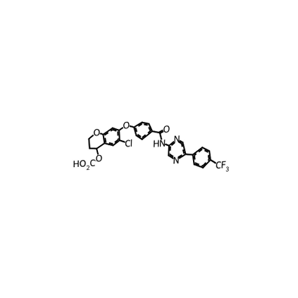 O=C(O)OC1CCOc2cc(Oc3ccc(C(=O)Nc4cnc(-c5ccc(C(F)(F)F)cc5)cn4)cc3)c(Cl)cc21